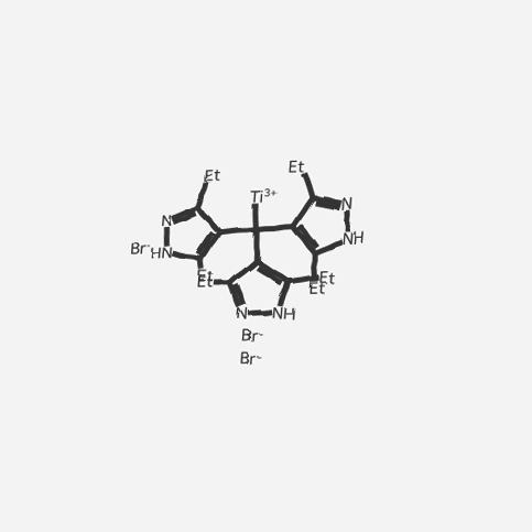 CCc1n[nH]c(CC)c1[C]([Ti+3])(c1c(CC)n[nH]c1CC)c1c(CC)n[nH]c1CC.[Br-].[Br-].[Br-]